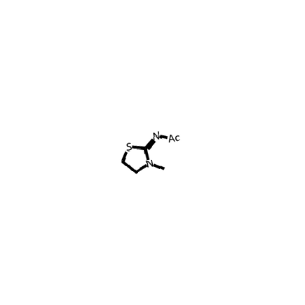 CC(=O)N=C1SCCN1C